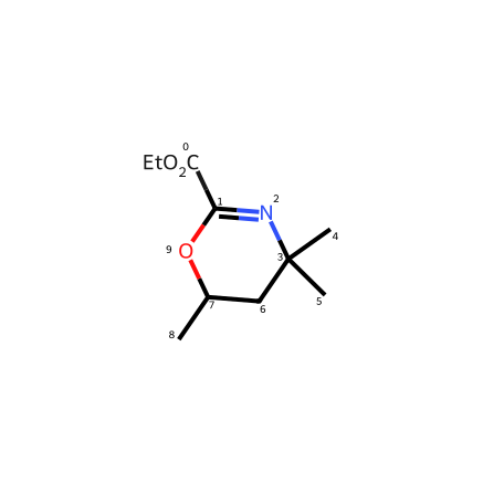 CCOC(=O)C1=NC(C)(C)CC(C)O1